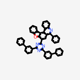 c1ccc(-c2cccc(-c3nc(-c4cccc(-c5ccccc5)c4)nc(-c4cc5c(-c6ccccc6)nc6ccccc6c5c5c4oc4ccccc45)n3)c2)cc1